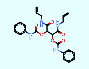 C=CCNC(=O)C(OC(=O)Nc1ccccc1)C(OC(=O)Nc1ccccc1)C(=O)NCC=C